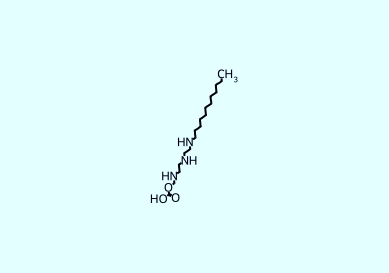 CCCCCCCCCCCCNCCNCCNCOC(=O)O